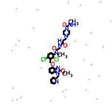 CNC(=O)N1CCN(CCC(=O)NCC(=O)N(C)c2ccc(Cl)c(COc3cccc4c3nc(OC)n4Cc3ccccn3)c2Cl)CC1